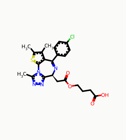 Cc1sc2c(c1C)C(c1ccc(Cl)cc1)=N[C@@H](CC(=O)OCCCC(=O)O)c1nnc(C)n1-2